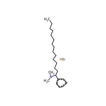 Br.CCCCCCCCCCCCCCC(c1ccccc1)N(C)C